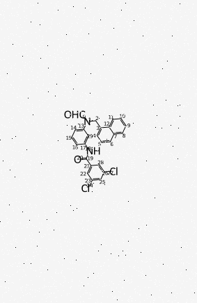 O=CN(Cc1cccc2ccccc12)c1cccc(NC(=O)c2cc(Cl)cc(Cl)c2)c1